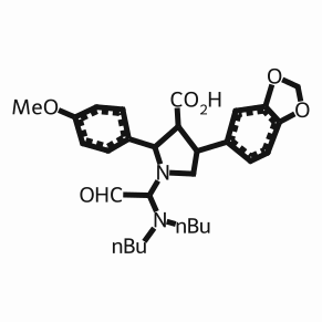 CCCCN(CCCC)C(C=O)N1CC(c2ccc3c(c2)OCO3)C(C(=O)O)C1c1ccc(OC)cc1